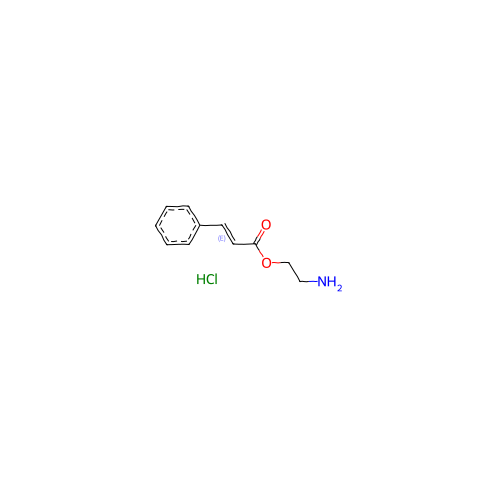 Cl.NCCOC(=O)/C=C/c1ccccc1